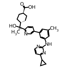 Cc1cc(Nc2nccc(C3CC3)n2)cc(-c2ccc([C@@](C)(O)[C@H]3CC[C@H](C(=O)O)CC3)nc2)c1